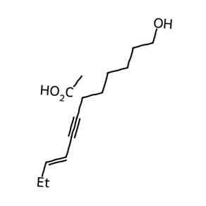 CC(=O)O.CCC=CC#CCCCCCCO